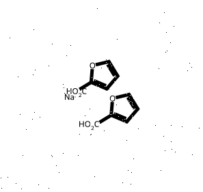 O=C(O)c1ccco1.O=C(O)c1ccco1.[Na]